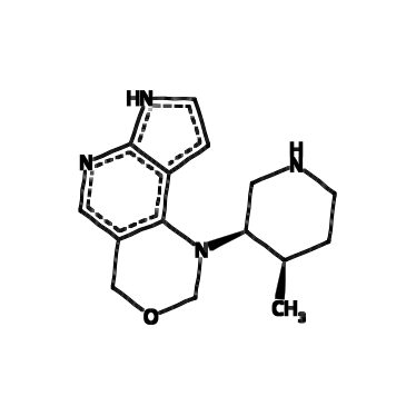 C[C@@H]1CCNC[C@@H]1N1COCc2cnc3[nH]ccc3c21